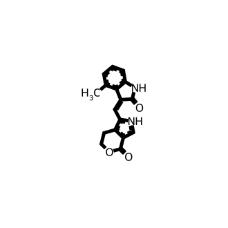 Cc1cccc2c1C(=Cc1[nH]cc3c1CCOC3=O)C(=O)N2